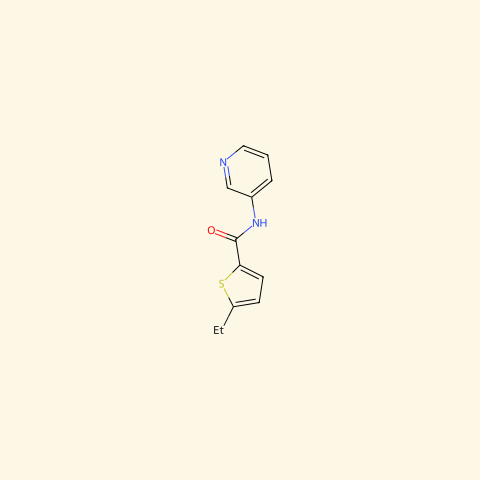 CCc1ccc(C(=O)Nc2cccnc2)s1